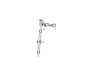 Cl.Cl.O.[O]=[Hf]=[O]